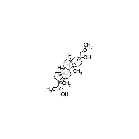 COC[C@]1(O)CC[C@@]2(C)[C@H](CC[C@@H]3[C@@H]2CC[C@]2(C)[C@@H]([C@H](C)CO)CC[C@@H]32)C1